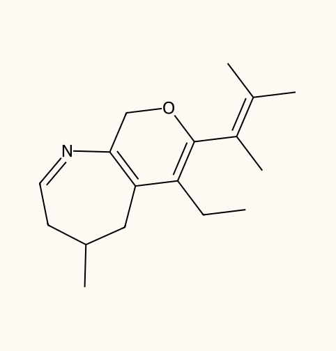 CCC1=C(C(C)=C(C)C)OCC2=C1CC(C)CC=N2